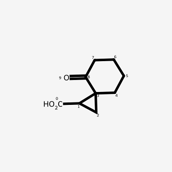 O=C(O)C1CC12CCCCC2=O